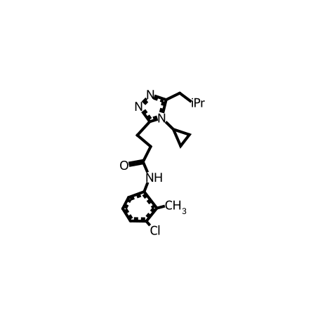 Cc1c(Cl)cccc1NC(=O)CCc1nnc(CC(C)C)n1C1CC1